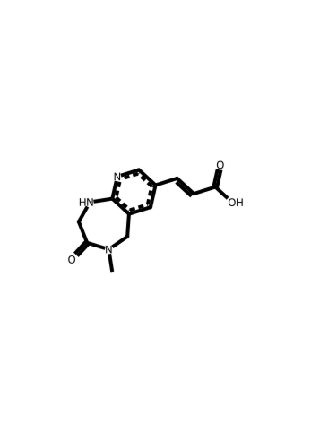 CN1Cc2cc(C=CC(=O)O)cnc2NCC1=O